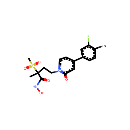 CC(CCn1ccc(-c2ccc(C#N)c(F)c2)cc1=O)(C(=O)NO)S(C)(=O)=O